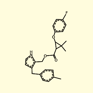 Cc1ccc(Cc2cc[nH]c2COC(=O)C2C(Oc3ccc(F)cc3)C2(C)C)cc1